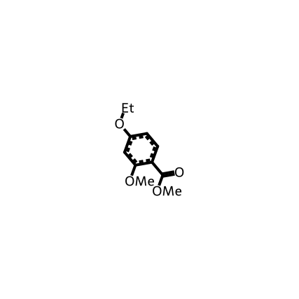 CCOc1ccc(C(=O)OC)c(OC)c1